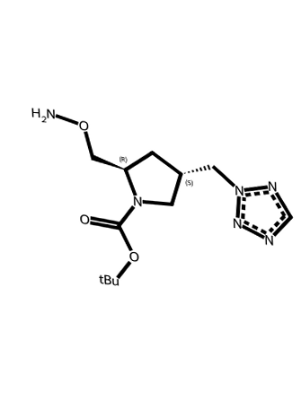 CC(C)(C)OC(=O)N1C[C@@H](Cn2ncnn2)C[C@@H]1CON